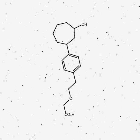 O=C(O)COCCc1ccc(C2CCCCC(O)C2)cc1